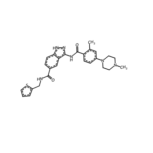 Cc1cc(N2CCN(C)CC2)ccc1C(=O)Nc1n[nH]c2ccc(C(=O)NCc3cccs3)cc12